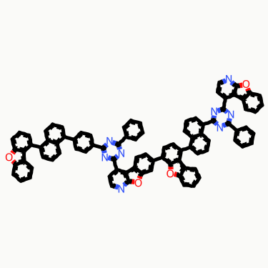 c1ccc(-c2nc(-c3ccc(-c4cccc5c(-c6cccc7oc8ccccc8c67)cccc45)cc3)nc(-c3ccnc4oc5cc(-c6ccc(-c7cccc8c(-c9nc(-c%10ccccc%10)nc(-c%10ccnc%11oc%12ccccc%12c%10%11)n9)cccc78)c7c6oc6ccccc67)ccc5c34)n2)cc1